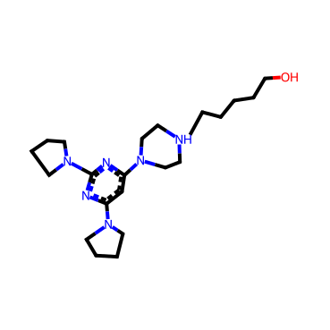 CCCCCCO.c1c(N2CCCC2)nc(N2CCCC2)nc1N1CCNCC1